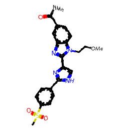 CNC(=O)c1ccc2c(c1)nc(-c1c[nH]c(-c3ccc(S(C)(=O)=O)cc3)n1)n2CCOC